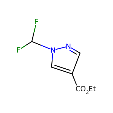 CCOC(=O)c1cnn(C(F)F)c1